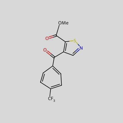 COC(=O)c1sncc1C(=O)c1ccc(C(F)(F)F)cc1